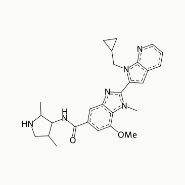 COc1cc(C(=O)NC2C(C)CNC2C)cc2nc(-c3cc4cccnc4n3CC3CC3)n(C)c12